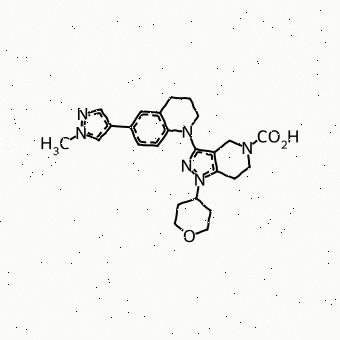 Cn1cc(-c2ccc3c(c2)CCCN3c2nn(C3CCOCC3)c3c2CN(C(=O)O)CC3)cn1